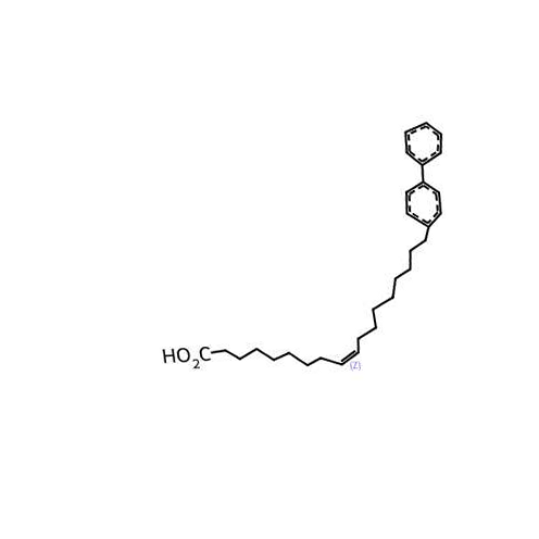 O=C(O)CCCCCCC/C=C\CCCCCCCCc1ccc(-c2ccccc2)cc1